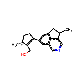 CC1Cc2cc(C3=C(CO)[C@H](C)CC3)cc3cncc1c23